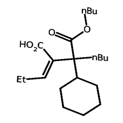 CCC=C(C(=O)O)C(CCCC)(C(=O)OCCCC)C1CCCCC1